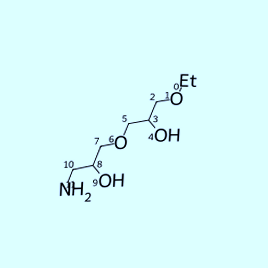 CCOCC(O)COCC(O)CN